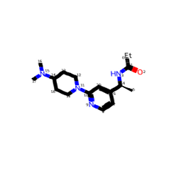 CCC(=O)N[C@@H](C)c1ccnc(N2CCC(N(C)C)CC2)c1